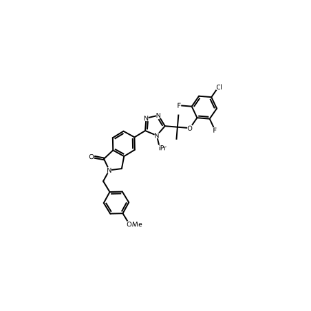 COc1ccc(CN2Cc3cc(-c4nnc(C(C)(C)Oc5c(F)cc(Cl)cc5F)n4C(C)C)ccc3C2=O)cc1